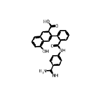 N=C(N)c1ccc(NC(=O)c2ccccc2-c2cc3c(O)cccc3cc2C(=O)O)cc1